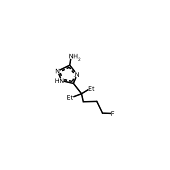 CCC(CC)(CCCF)c1nc(N)n[nH]1